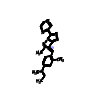 CCN(C)c1ccc(/C=c2\c(C)nn3c(-c4cnccn4)nnc23)c(C)c1